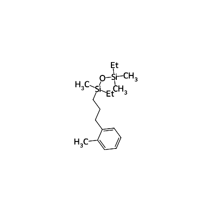 CC[Si](C)(C)O[Si](C)(CC)CCCc1ccccc1C